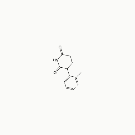 Cc1ccccc1C1CCC(=O)NC1=O